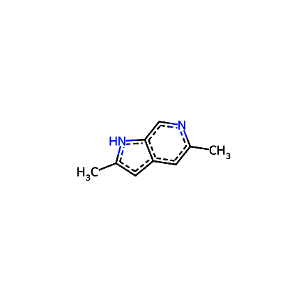 Cc1cc2cc(C)[nH]c2cn1